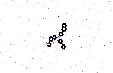 c1ccc(-c2ccc(N(c3ccc(-c4ccc5ccccc5c4)cc3)c3ccc4ccc5c6ncccc6oc5c4c3)cc2)cc1